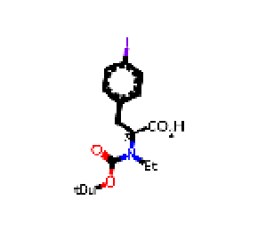 CCN(C(=O)OC(C)(C)C)[C@@H](Cc1ccc(I)cc1)C(=O)O